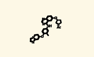 CC(=O)N1CC[C@H](Oc2ccc3ncnc(Nc4ccc(Oc5ccn6ccnc6c5)c(C)c4)c3c2)C1